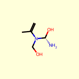 C=C(C)N(CO)[C@@H](N)O